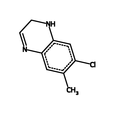 Cc1cc2c(cc1Cl)NCC=N2